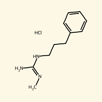 CN=C(N)NCCCc1ccccc1.Cl